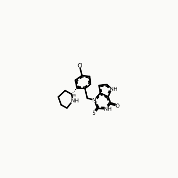 O=c1[nH]c(=S)n(Cc2ccc(Cl)cc2[C@H]2CCCCN2)c2cc[nH]c12